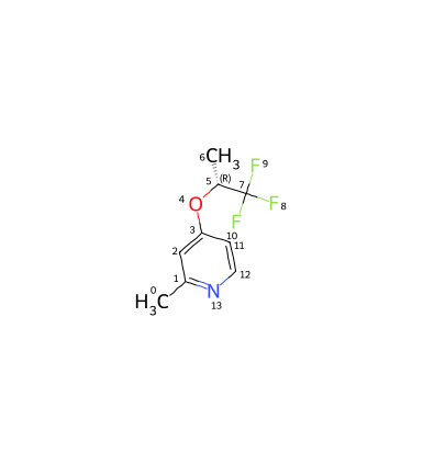 Cc1cc(O[C@H](C)C(F)(F)F)ccn1